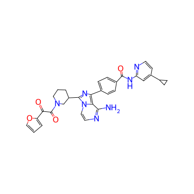 Nc1nccn2c(C3CCCN(C(=O)C(=O)c4ccco4)C3)nc(-c3ccc(C(=O)Nc4cc(C5CC5)ccn4)cc3)c12